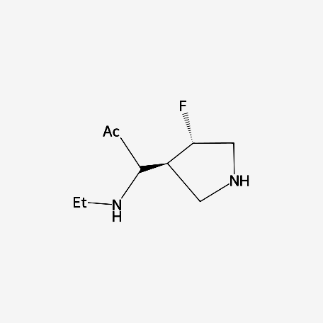 CCNC(C(C)=O)[C@@H]1CNC[C@H]1F